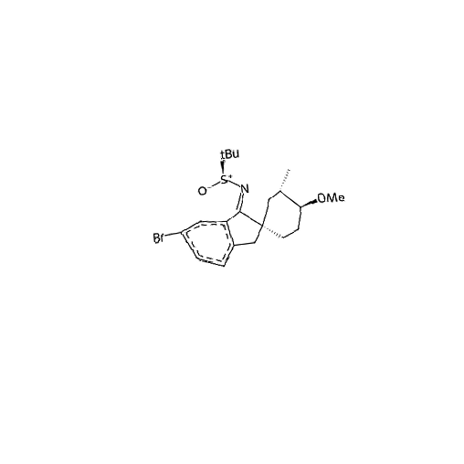 CO[C@H]1CC[C@@]2(Cc3ccc(Br)cc3C2=N[S@@+]([O-])C(C)(C)C)C[C@@H]1C